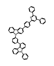 c1ccc(-c2cc(-c3ccccc3)nc(-c3ccc(-c4ccc5c(c4)c4ccccc4n5-c4cccc(-c5cccc6c5c5ccccc5n6-c5ccccc5)c4)cc3)c2)cc1